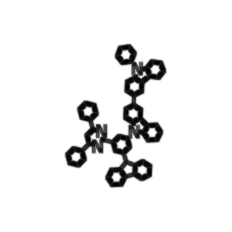 c1ccc(-c2cc(-c3ccccc3)nc(-c3cc(C4c5ccccc5-c5ccccc54)cc(-n4c5ccccc5c5cc(-c6ccc7c(c6)c6ccccc6n7-c6ccccc6)ccc54)c3)n2)cc1